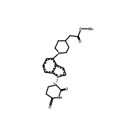 CC(C)(C)OC(=O)CC1CCN(c2cccc3c2ccn3[C@H]2CCC(=O)NC2=O)CC1